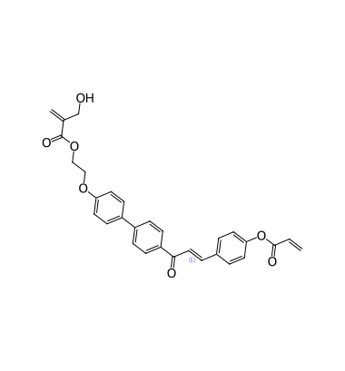 C=CC(=O)Oc1ccc(/C=C/C(=O)c2ccc(-c3ccc(OCCOC(=O)C(=C)CO)cc3)cc2)cc1